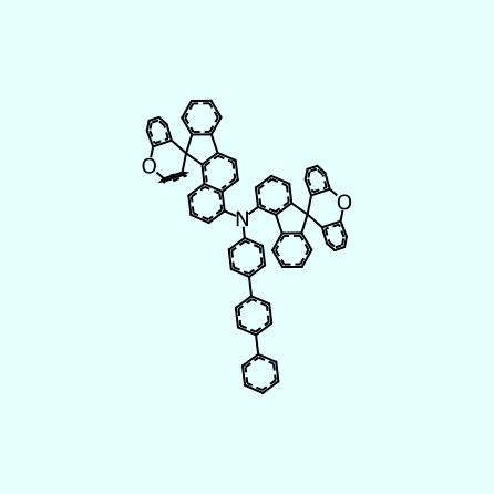 c1ccc(-c2ccc(-c3ccc(N(c4cccc5c4-c4ccccc4C54c5ccccc5Oc5ccccc54)c4cccc5c6c(ccc45)-c4ccccc4C64c5ccccc5Oc5ccccc54)cc3)cc2)cc1